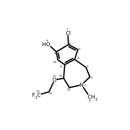 CN1CCc2cc(Cl)c(O)cc2C(OCC(F)(F)F)C1